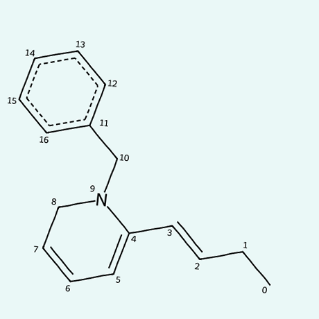 CCC=CC1=CC=CCN1Cc1ccccc1